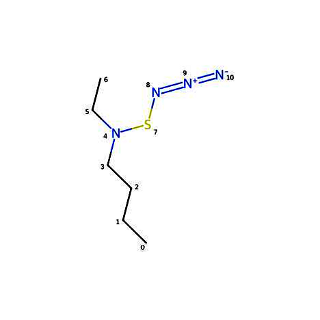 CCCCN(CC)SN=[N+]=[N-]